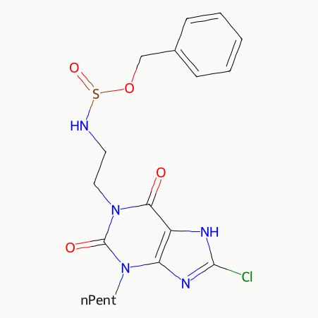 CCCCCn1c(=O)n(CCNS(=O)OCc2ccccc2)c(=O)c2[nH]c(Cl)nc21